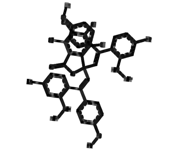 CCCNc1cc(CC)ccc1C(=CC1(C=C(c2ccc(OCC)cc2)c2ccc(CC)cc2NCCC)OC(=O)c2c(Cl)c(Cl)c(Cl)c(Cl)c21)c1ccc(OCC)cc1